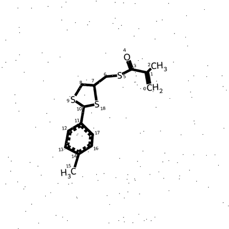 C=C(C)C(=O)SCC1CSC(c2ccc(C)cc2)S1